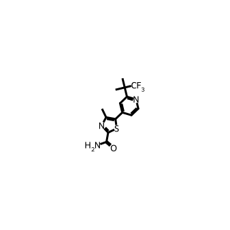 Cc1nc(C(N)=O)sc1-c1ccnc(C(C)(C)C(F)(F)F)c1